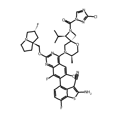 CC(C)[C@H]1N(C(=O)n2cnc(Cl)n2)C[C@]12CN(c1nc(OC[C@@]34CCCN3C[C@H](F)C4)nc3c(F)c(-c4ccc(F)c5sc(N)c(C#N)c45)c(Cl)cc13)[C@H](C)CO2